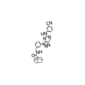 N#Cc1cccc(Nc2ncc3nnn(-c4cccc(CNC(=O)C56CC7CC(CC(C7)C5)C6)c4)c3n2)c1